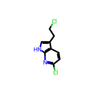 ClCCc1c[nH]c2nc(Cl)ccc12